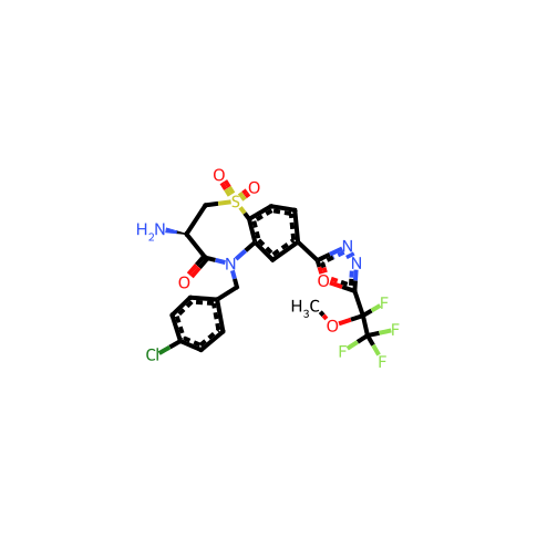 COC(F)(c1nnc(-c2ccc3c(c2)N(Cc2ccc(Cl)cc2)C(=O)[C@@H](N)CS3(=O)=O)o1)C(F)(F)F